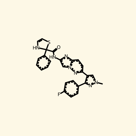 Cn1cc(-c2ccc3nc(NC(=O)C4(c5ccccc5)NC=CS4)cn3n2)c(-c2ccc(F)cc2)n1